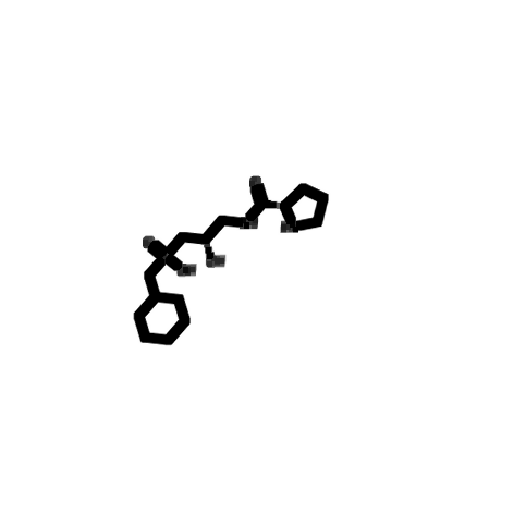 O=C(NC[C@H](O)CP(=O)(O)CC1CCCCC1)[C@@H]1CCCN1